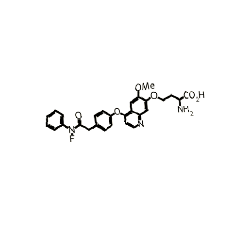 COc1cc2c(Oc3ccc(CC(=O)N(F)c4ccccc4)cc3)ccnc2cc1OCCC(N)C(=O)O